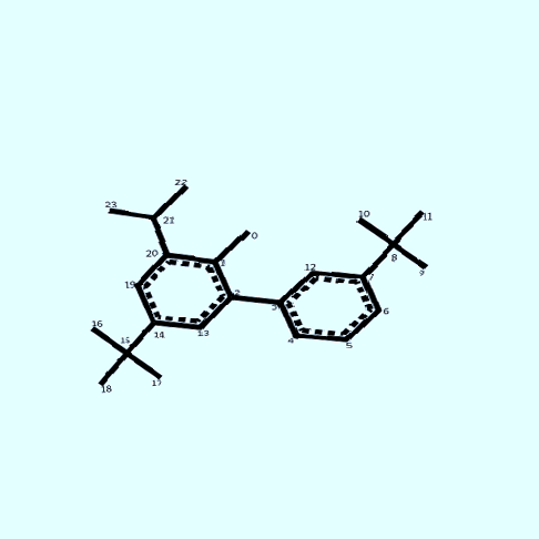 Cc1c(-c2cccc(C(C)(C)C)c2)cc(C(C)(C)C)cc1C(C)C